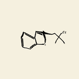 CCC(C)(C)Cc1cc2ccccc2s1